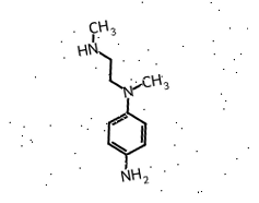 CNCCN(C)c1ccc(N)cc1